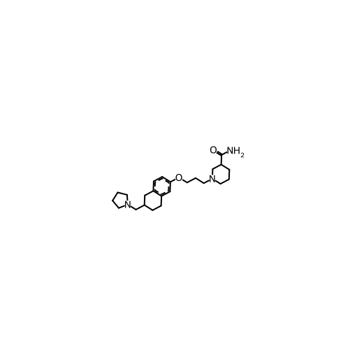 NC(=O)C1CCCN(CCCOc2ccc3c(c2)CCC(CN2CCCC2)C3)C1